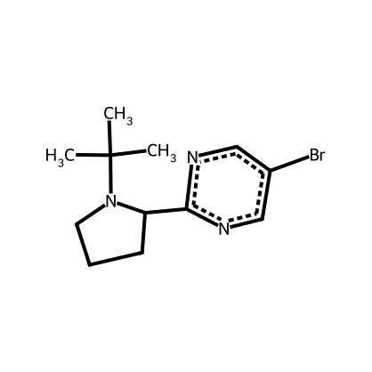 CC(C)(C)N1CCCC1c1ncc(Br)cn1